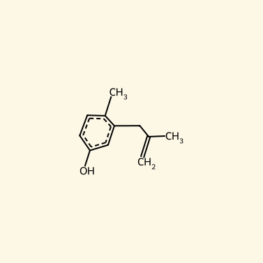 C=C(C)Cc1cc(O)ccc1C